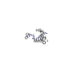 C/C=C/[C@@H]1O[C@H]([C@H](/C=C/C=C(\C)C[C@@H](C)/C=C(C)\C=C\[C@H]2CC=CC(=O)O2)NC(=O)[C@@](OC)(c2ccccc2)C(F)(F)F)C[C@@H](O)[C@@H]1C